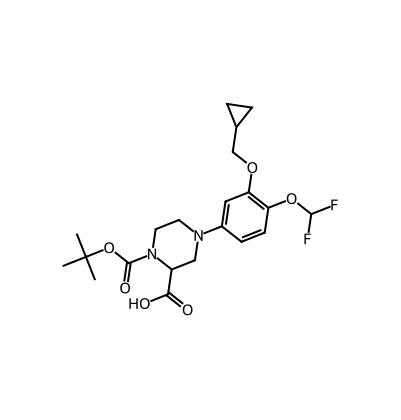 CC(C)(C)OC(=O)N1CCN(c2ccc(OC(F)F)c(OCC3CC3)c2)CC1C(=O)O